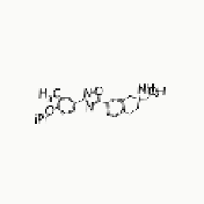 Cc1cc(-c2noc(-c3ccc4c(c3)CC(N)(CO)CC4)n2)ccc1OC(C)C